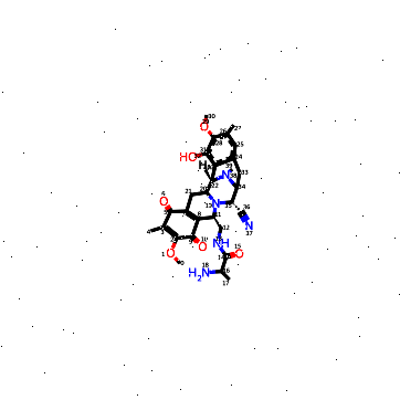 COC1=C(C)C(=O)C2=C(C1=O)[C@H](CNC(=O)C(C)N)N1C(C2)[C@@H]2c3c(cc(C)c(OC)c3O)CC([C@@H]1C#N)N2C